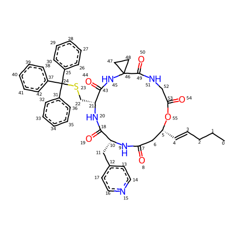 CCC/C=C/[C@@H]1CC(=O)N[C@H](Cc2ccncc2)C(=O)N[C@H](CSC(c2ccccc2)(c2ccccc2)c2ccccc2)C(=O)NC2(CC2)C(=O)NCC(=O)O1